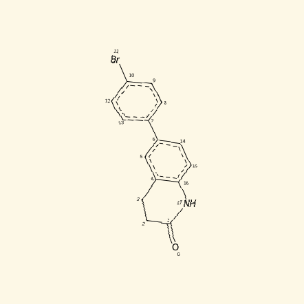 O=C1CCc2cc(-c3ccc(Br)cc3)ccc2N1